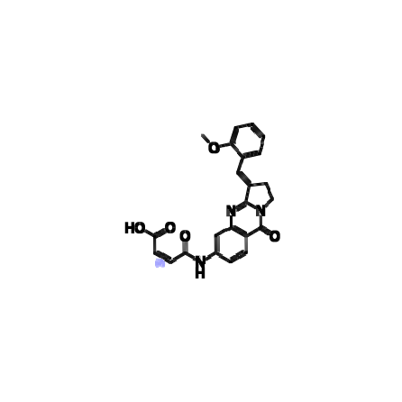 COc1ccccc1C=C1CCn2c1nc1cc(NC(=O)/C=C\C(=O)O)ccc1c2=O